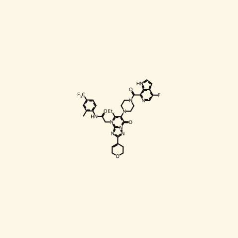 CCc1c(N2CCN(C(=O)c3ncc(F)c4cc[nH]c34)CC2)c(=O)n2nc(C3=CCOCC3)nc2n1CC(=O)Nc1ccc(C(F)(F)F)cc1C